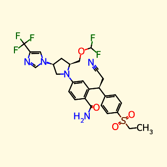 CCS(=O)(=O)c1ccc([C@H](CC#N)c2cc(N3C[C@@H](n4cnc(C(F)(F)F)c4)C[C@H]3COC(F)F)ccc2C(N)=O)cc1